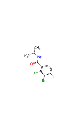 CC(C)NC(=O)c1ccc(F)c(Br)c1F